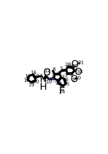 COC1=CC(=CC2=C(C)/C(=C\C(=O)NCc3ccccc3)c3cc(F)ccc32)C=C(OC)C1=O